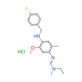 CCN(C)C=Nc1cc(OC)c(NCc2ccc(F)cc2)cc1C.Cl